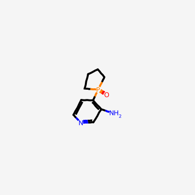 Nc1cnccc1P1(=O)CCCC1